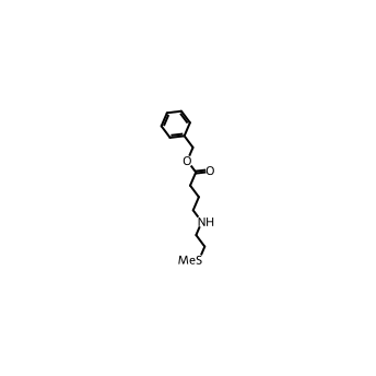 CSCCNCCCC(=O)OCc1ccccc1